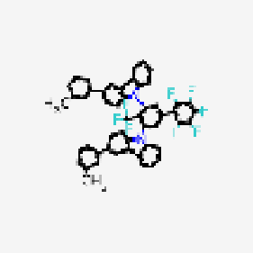 Cc1cccc(-c2ccc3c(c2)c2ccccc2n3-c2cc(-c3c(F)c(F)c(F)c(F)c3F)cc(-n3c4ccccc4c4cc(-c5cccc(C)c5)ccc43)c2C(F)(F)F)c1